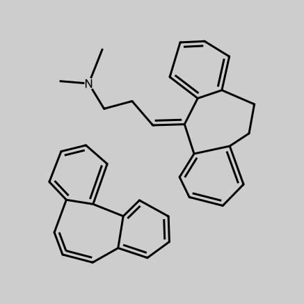 C1=Cc2ccccc2-c2ccccc2C=1.CN(C)CCC=C1c2ccccc2CCc2ccccc21